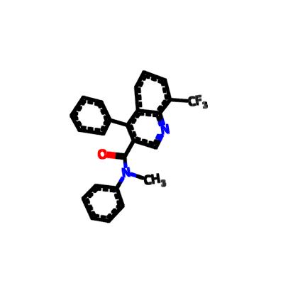 CN(C(=O)c1cnc2c(C(F)(F)F)cccc2c1-c1ccccc1)c1ccccc1